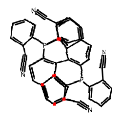 N#Cc1ccccc1P(c1ccccc1C#N)c1ccc2ccccc2c1-c1c(P(c2ccccc2C#N)c2ccccc2C#N)ccc2ccccc12